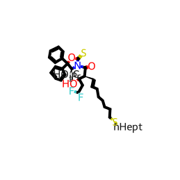 CCCCCCCSCCCCCCC=C[C@H](C(=O)N1C(=S)OC(c2ccccc2)(c2ccccc2)[C@@H]1C(C)C)[C@@](O)(CC(F)F)C(=O)O